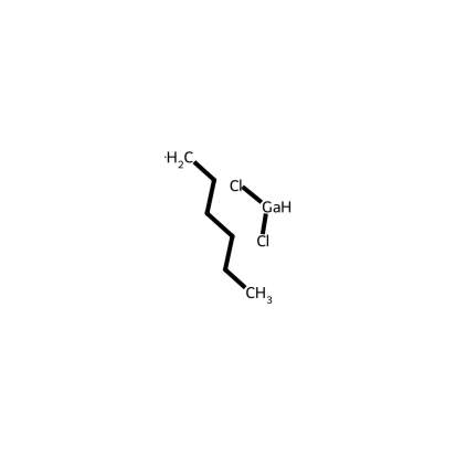 [CH2]CCCCC.[Cl][GaH][Cl]